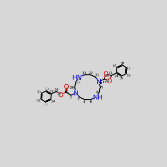 O=C(CN1CCCNCCN(C2OC(c3ccccc3)O2)CCCNCC1)OCc1ccccc1